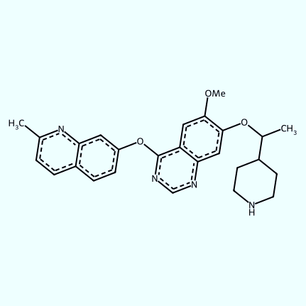 COc1cc2c(Oc3ccc4ccc(C)nc4c3)ncnc2cc1OC(C)C1CCNCC1